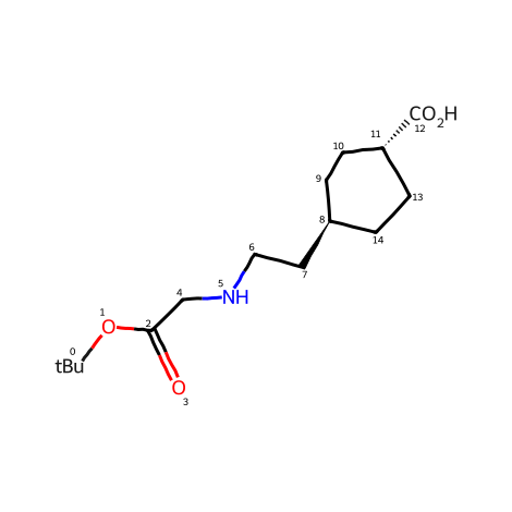 CC(C)(C)OC(=O)CNCC[C@H]1CC[C@H](C(=O)O)CC1